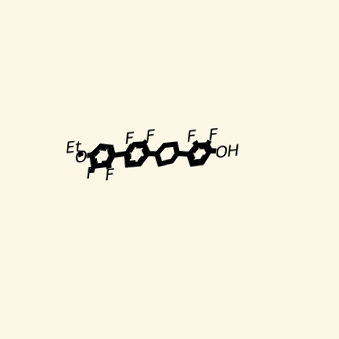 CCOc1ccc(-c2ccc(C3CCC(c4ccc(O)c(F)c4F)CC3)c(F)c2F)c(F)c1F